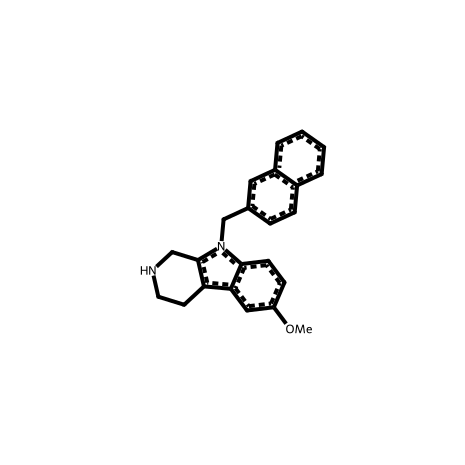 COc1ccc2c(c1)c1c(n2Cc2ccc3ccccc3c2)CNCC1